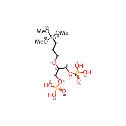 CO[Si](CCCOC(COP(=O)(O)O)COP(=O)(O)O)(OC)OC